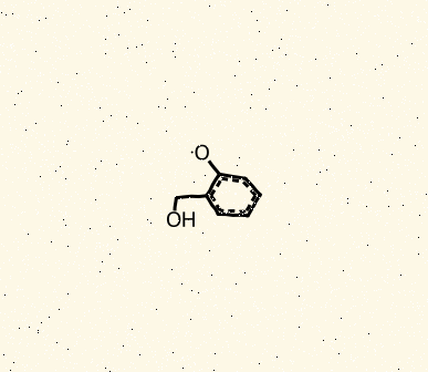 [O]c1ccccc1CO